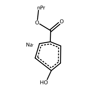 CCCOC(=O)c1ccc(O)cc1.[Na]